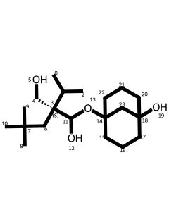 CC(C)[C@](CO)(CC(C)(C)C)C(O)OC12CCCC(O)(CCC1)C2